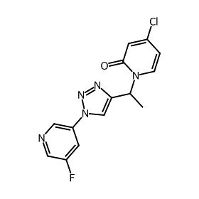 CC(c1cn(-c2cncc(F)c2)nn1)n1ccc(Cl)cc1=O